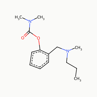 CCCN(C)Cc1ccccc1OC(=O)N(C)C